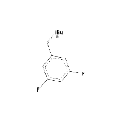 CC[C@@H](C)Cc1cc(F)cc(F)c1